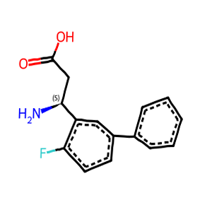 N[C@@H](CC(=O)O)c1cc(-c2ccccc2)ccc1F